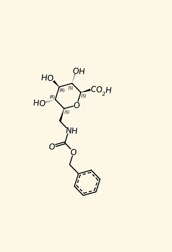 O=C(NC[C@@H]1O[C@H](C(=O)O)[C@@H](O)[C@H](O)[C@H]1O)OCc1ccccc1